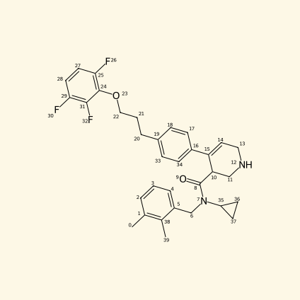 Cc1cccc(CN(C(=O)C2CNCC=C2c2ccc(CCCOc3c(F)ccc(F)c3F)cc2)C2CC2)c1C